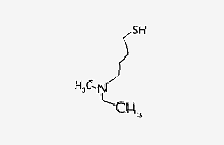 CCN(C)CCCCS